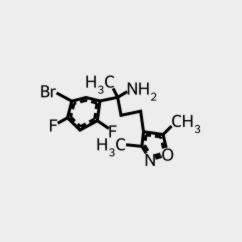 Cc1noc(C)c1CCC(C)(N)c1cc(Br)c(F)cc1F